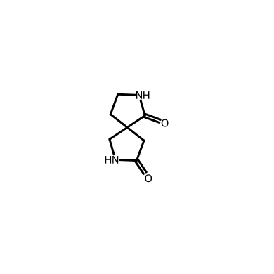 O=C1CC2(CCNC2=O)CN1